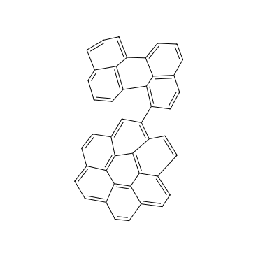 c1cc2cccc3c4c(-c5cc6ccc7ccc8ccc9ccc%10ccc5c5c%10c9c8c7c65)ccc5cccc(c(c1)c23)c54